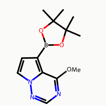 COc1ncnn2ccc(B3OC(C)(C)C(C)(C)O3)c12